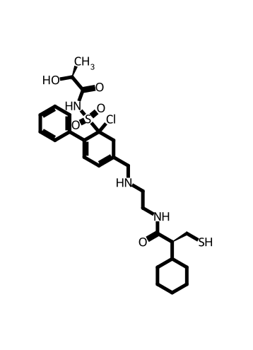 C[C@H](O)C(=O)NS(=O)(=O)C1(Cl)CC(CNCCNC(=O)[C@@H](CS)C2CCCCC2)=CC=C1c1ccccc1